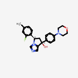 Cc1ccc([C@H]2C[C@](O)(c3ccc(N4CCOCC4)cc3)c3cncn32)c(F)c1